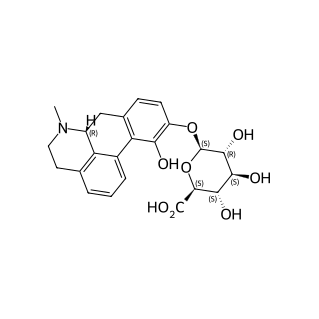 CN1CCc2cccc3c2[C@H]1Cc1ccc(O[C@@H]2O[C@H](C(=O)O)[C@@H](O)[C@H](O)[C@H]2O)c(O)c1-3